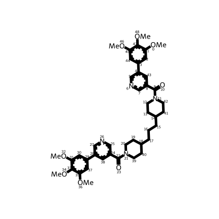 COc1cc(-c2cncc(C(=O)N3CCC(CCCC4CCN(C(=O)c5cncc(-c6cc(OC)c(OC)c(OC)c6)c5)CC4)CC3)c2)cc(OC)c1OC